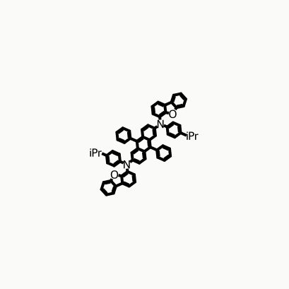 CC(C)c1ccc(N(c2ccc3c(-c4ccccc4)c4cc(N(c5ccc(C(C)C)cc5)c5cccc6c5oc5ccccc56)ccc4c(-c4ccccc4)c3c2)c2cccc3c2oc2ccccc23)cc1